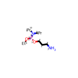 CCOP(OCCCN)N(C(C)C)C(C)C